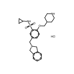 Cl.O=S(=O)(NC1CC1)c1cc(CN2Cc3ccccc3C2)ccc1OCC1CCNCC1